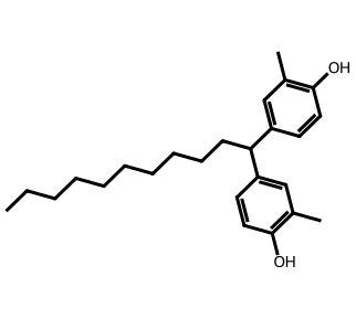 CCCCCCCCCCC(c1ccc(O)c(C)c1)c1ccc(O)c(C)c1